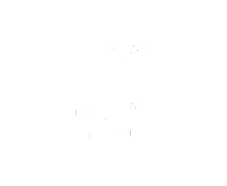 CC(C)(O)c1ncc([S@+](N)[O-])s1